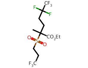 CCOC(=O)C(C)(CCC(F)(F)C(F)(F)F)S(=O)(=O)CCC(F)(F)F